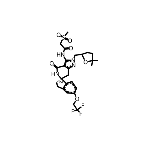 CC1(C)CCC(Cn2nc3c(c2NC(=O)CS(C)(=O)=O)C(=O)N[C@@]2(CCc4cc(OCC(F)(F)F)ccc42)C3)O1